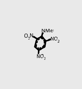 C[N+]c1c([N+](=O)[O-])cc([N+](=O)[O-])cc1[N+](=O)[O-]